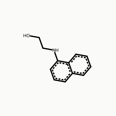 OCCNc1cccc2c[c]ccc12